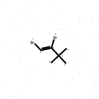 CC(C)(C)/C(Br)=C/Br